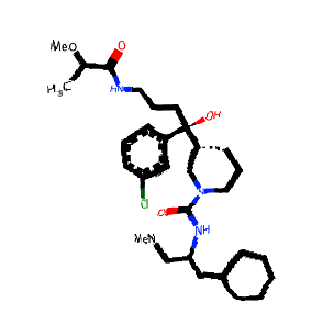 CNCC(CC1CCCCC1)NC(=O)N1CCC[C@@H]([C@@](O)(CCCNC(=O)C(C)OC)c2cccc(Cl)c2)C1